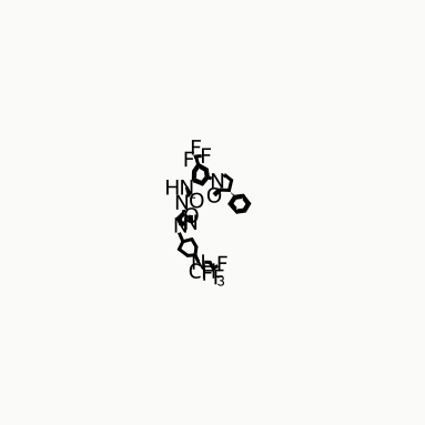 CN(CC(F)(F)F)C1CCC(C[n+]2cc([N-]C(=O)Nc3cc(N4CC[C@H](c5ccccc5)C4=O)cc(C(F)(F)F)c3)on2)CC1